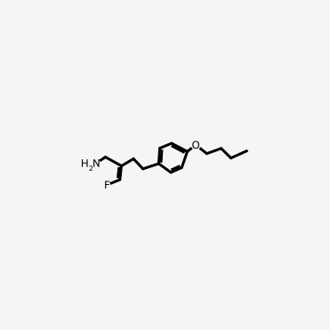 CCCCOc1ccc(CCC(=CF)CN)cc1